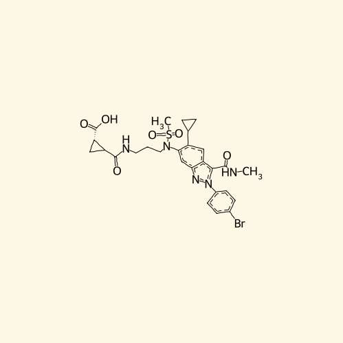 CNC(=O)c1c2cc(C3CC3)c(N(CCCNC(=O)C3C[C@@H]3C(=O)O)S(C)(=O)=O)cc2nn1-c1ccc(Br)cc1